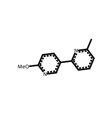 COc1ccc(-c2cccc(C)n2)[c]n1